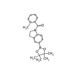 Cc1ccccc1C(=O)N1CCc2cc(B3OC(C)(C)C(C)(C)O3)ccc21